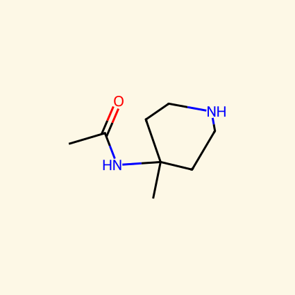 CC(=O)NC1(C)CCNCC1